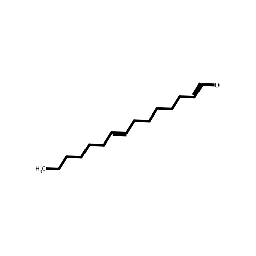 CCCCCC/C=C/CCCCC/C=C/[O]